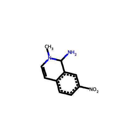 CN1C=Cc2ccc([N+](=O)[O-])cc2C1N